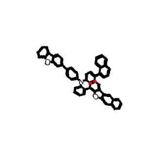 c1ccc(N(c2ccc(-c3ccc4c(c3)oc3ccccc34)cc2)c2ccc(-c3cccc4ccccc34)cc2)c(-c2cccc3c2oc2cc4ccccc4cc23)c1